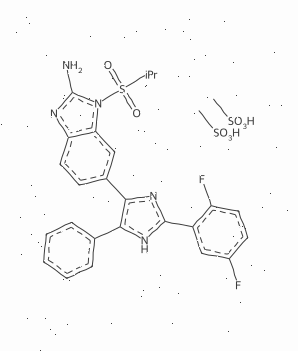 CC(C)S(=O)(=O)n1c(N)nc2ccc(-c3nc(-c4cc(F)ccc4F)[nH]c3-c3ccccc3)cc21.CS(=O)(=O)O.CS(=O)(=O)O